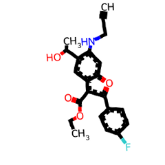 C#CCNc1cc2oc(-c3ccc(F)cc3)c(C(=O)OCC)c2cc1C(C)O